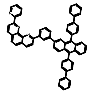 c1ccc(-c2ccc(-c3c4ccccc4c(-c4ccc(-c5ccccc5)cc4)c4cc(-c5cccc(-c6ccc7ccc8ccc(-c9ccccn9)nc8c7n6)c5)ccc34)cc2)cc1